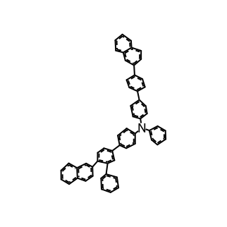 c1ccc(-c2cc(-c3ccc(N(c4ccccc4)c4ccc(-c5ccc(-c6ccc7ccccc7c6)cc5)cc4)cc3)ccc2-c2ccc3ccccc3c2)cc1